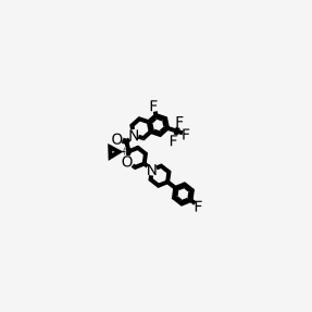 O=C(N1CCc2c(F)cc(C(F)(F)F)cc2C1)[C@@]1(C2CC2)CCC(N2CCC(c3ccc(F)cc3)CC2)CO1